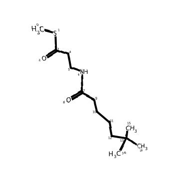 CSC(=O)CCNC(=O)CCCCC(C)(C)C